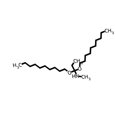 CCCCCCCCCCOC(CC)(NC)OCCCCCCCCCC